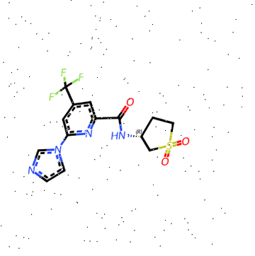 O=C(N[C@@H]1CCS(=O)(=O)C1)c1cc(C(F)(F)F)cc(-n2ccnc2)n1